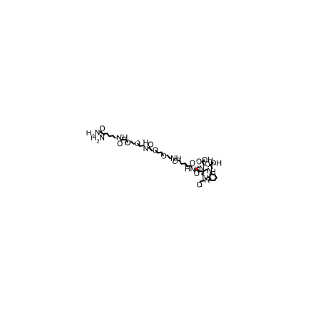 NC(=O)[C@@H](N)CCCCNC(=O)COCCOCCNC(=O)COCCOCCNOCCCCC(=O)NCCC1(N(CC=O)CC(=O)O)CN(CC=O)[C@H]2CCCC[C@@H]2N(CC(=O)O)C1